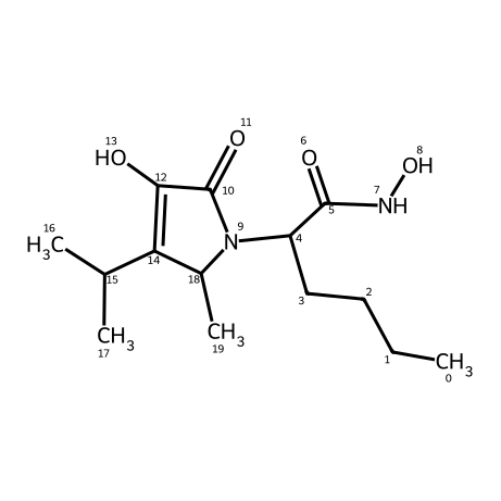 CCCCC(C(=O)NO)N1C(=O)C(O)=C(C(C)C)C1C